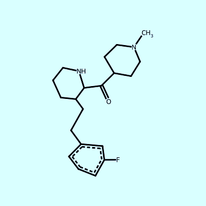 CN1CCC(C(=O)C2NCCCC2CCc2cccc(F)c2)CC1